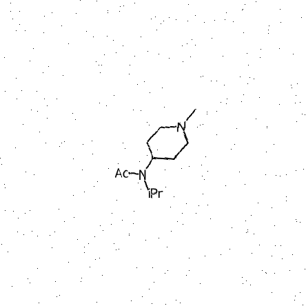 CC(=O)N(C(C)C)C1CCN(C)CC1